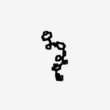 CC(C)(C)c1cc(NC(=O)OC2CCCN(C(=O)C3CCOCC3)C2)no1